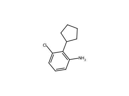 Nc1cccc(Cl)c1C1CCCC1